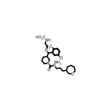 Cc1ccc(Cl)cc1C(OCCNC(=O)O)C1CCCN(C(=O)N(N)CCCC2CCCCOC2)C1